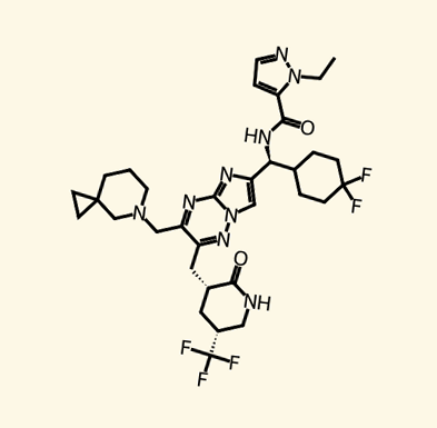 CCn1nccc1C(=O)N[C@H](c1cn2nc(C[C@H]3C[C@@H](C(F)(F)F)CNC3=O)c(CN3CCCC4(CC4)C3)nc2n1)C1CCC(F)(F)CC1